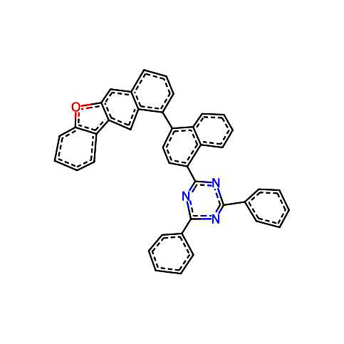 c1ccc(-c2nc(-c3ccccc3)nc(-c3ccc(-c4cccc5cc6oc7ccccc7c6cc45)c4ccccc34)n2)cc1